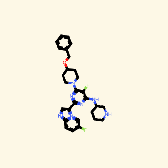 Fc1ccc2ncc(-c3nc(NC4CCCNC4)c(F)c(N4CCC(OCc5ccccc5)CC4)n3)n2c1